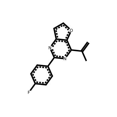 C=C(C)c1nc(-c2ccc(F)cc2)nc2ccoc12